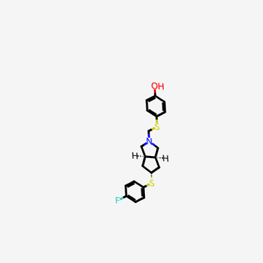 Oc1ccc(SCN2C[C@H]3C[C@H](Sc4ccc(F)cc4)C[C@H]3C2)cc1